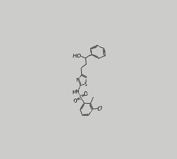 Cc1c(Cl)cccc1S(=O)(=O)Nc1nc(CCC(O)c2ccccc2)cs1